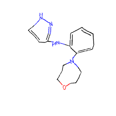 c1ccc(N2CCOCC2)c(Nc2cc[nH]n2)c1